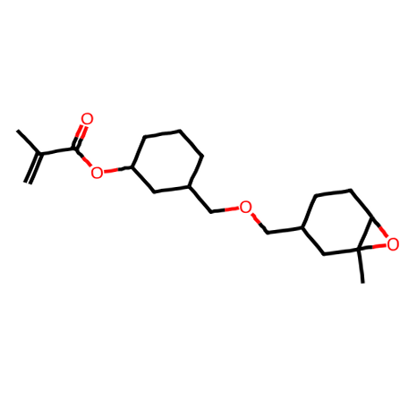 C=C(C)C(=O)OC1CCCC(COCC2CCC3OC3(C)C2)C1